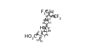 C[C@H](C(=O)O)C(c1ccc2c(c1)NC(C1CCN(Cc3cc(C(F)(F)F)ccc3C(F)(F)F)CC1)CC2)C1CC1